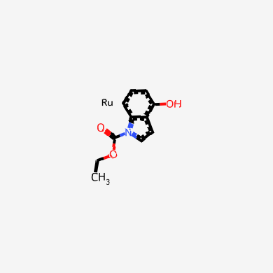 CCOC(=O)n1ccc2c(O)cccc21.[Ru]